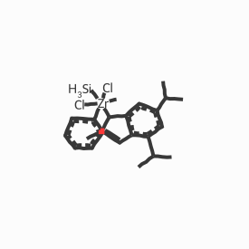 CC1=Cc2c(C(C)C)cc(C(C)C)cc2[CH]1[Zr]([CH3])([SiH3])([Cl])([Cl])[c]1ccccc1